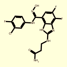 NC(=O)CCNc1nc2c(F)c(F)cc(/C(=N\O)Nc3ccc(F)c(Cl)c3)c2[nH]1